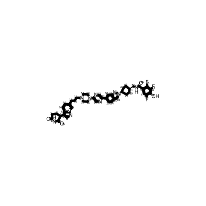 O=C1CCC(c2cnn3cc(CCCN4CCN(c5cnc(-c6ccc7cn([C@H]8CC[C@H](CNC(=O)c9cc(F)c(O)c(F)c9F)CC8)nc7c6)cn5)CC4)ccc23)C(=O)N1